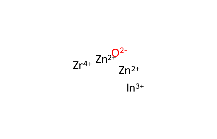 [In+3].[O-2].[Zn+2].[Zn+2].[Zr+4]